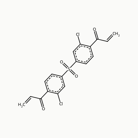 C=CC(=O)c1ccc(S(=O)(=O)c2ccc(C(=O)C=C)c(Cl)c2)cc1Cl